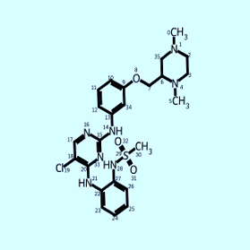 CN1CCN(C)C(COc2cccc(Nc3ncc(Cl)c(Nc4ccccc4NS(C)(=O)=O)n3)c2)C1